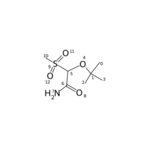 CC(C)(C)OC(C(N)=O)S(C)(=O)=O